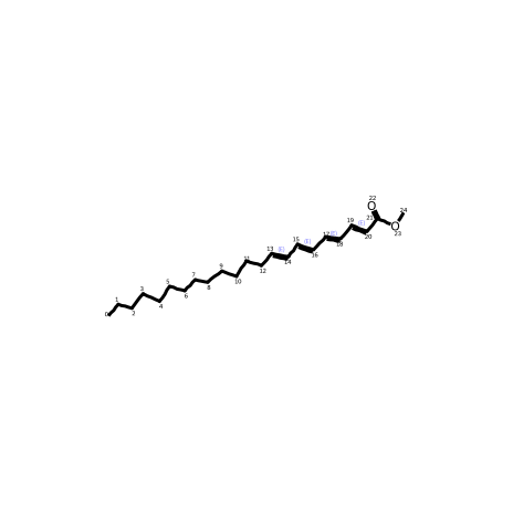 CCCCCCCCCCCCC/C=C/C=C/C=C/C=C/C(=O)OC